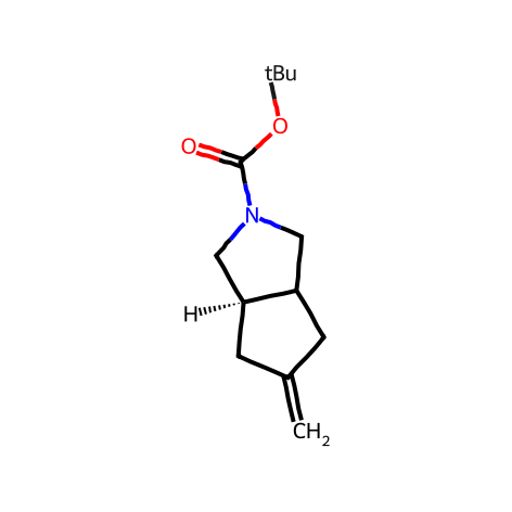 C=C1CC2CN(C(=O)OC(C)(C)C)C[C@@H]2C1